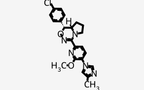 COc1nc(C2=NO[C@H](c3ccc(Cl)cc3)[C@@H]3CCCN23)ccc1-n1cnc(C)c1